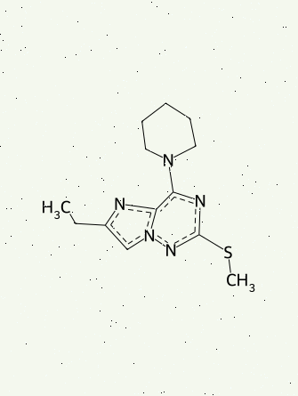 CCc1cn2nc(SC)nc(N3CCCCC3)c2n1